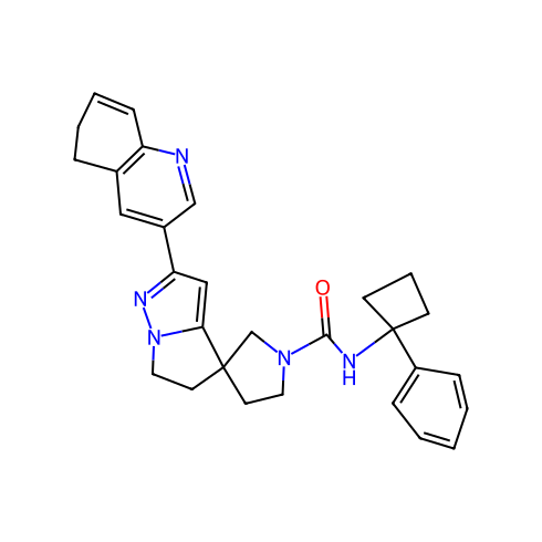 O=C(NC1(c2ccccc2)CCC1)N1CCC2(CCn3nc(-c4cnc5c(c4)CCC=C5)cc32)C1